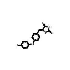 O=C1NC(=O)C(=Cc2ccc(Oc3ccc(F)cc3)cc2)S1